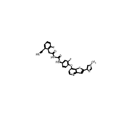 C#Cc1cccc(F)c1CC(=O)NC(=S)Nc1ccc(Oc2ccnc3cc(-c4cn(C)cn4)sc23)c(F)c1